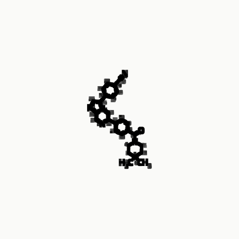 CC1(C)CCN(C(=O)c2ccc(-c3cn4c(-c5ccc(C#N)cc5)cnc4cn3)cc2)CC1